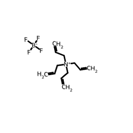 C=CC[N+](CC=C)(CC=C)CC=C.F[B-](F)(F)F